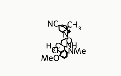 CNc1ccc(OC)c(Cl)c1C(=N)C(C)CC(=O)N1C2CC3(C)CC1CC(C#N)(C2)C3